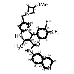 COC1CN(Cc2cc3n(n2)C(c2ccc(C(F)(F)F)c(F)c2)C(C(=O)Nc2ccc4cnccc4c2)=C(C)N3)C1